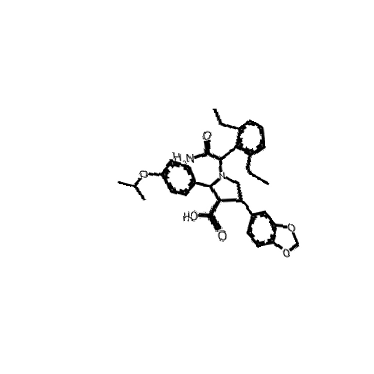 CCc1cccc(CC)c1C(C(N)=O)N1CC(c2ccc3c(c2)OCO3)C(C(=O)O)C1c1ccc(OC(C)C)cc1